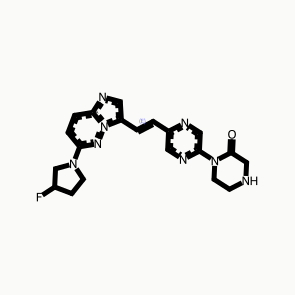 O=C1CNCCN1c1cnc(/C=C/c2cnc3ccc(N4CCC(F)C4)nn23)cn1